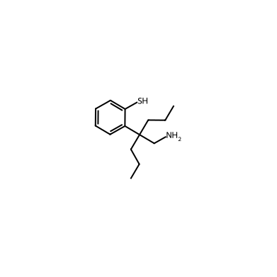 CCCC(CN)(CCC)c1ccccc1S